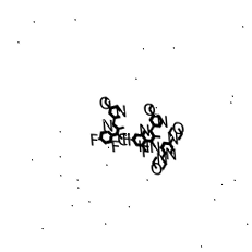 COc1cncc(-c2nc3cc(F)cc(F)c3c(Cl)c2C)c1.COc1cncc(-c2nc3cc(F)cc(F)c3c(Nc3cc(N4CCOCC4)cnc3N3CCOCC3)c2C)c1